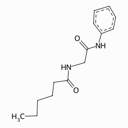 CCCCCC(=O)NCC(=O)Nc1ccccc1